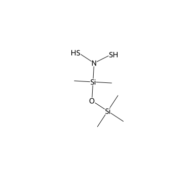 C[Si](C)(C)O[Si](C)(C)N(S)S